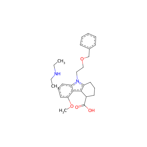 CCNCC.COc1cccc2c1c1c(n2CCOCc2ccccc2)CCCC1C(=O)O